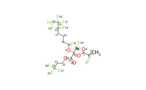 C=C(F)C(=O)OC(OCCCCC(F)(F)C(F)(F)S)(C(=O)OCCC(F)(F)F)C(F)(F)F